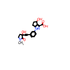 CN1CCC(O)(C#Cc2cccc(-n3nc(C(=O)O)c4c3CCC4O)c2)C1=O